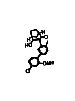 COc1cc(Cl)ccc1-c1ccc(C)c(C2=C(O)[C@H]3CC[C@H](C3)C2=O)c1